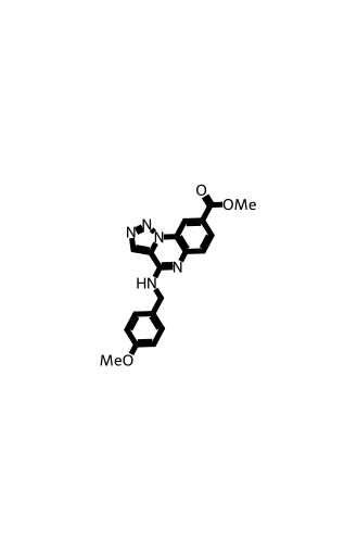 COC(=O)c1ccc2nc(NCc3ccc(OC)cc3)c3cnnn3c2c1